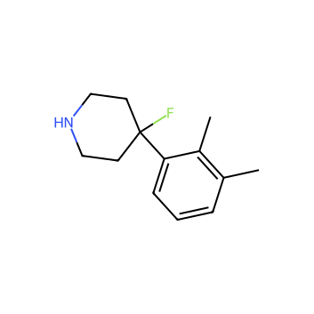 Cc1cccc(C2(F)CCNCC2)c1C